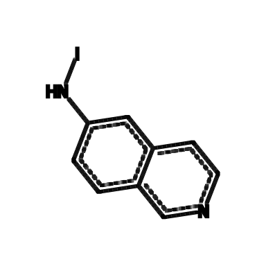 INc1ccc2cnccc2c1